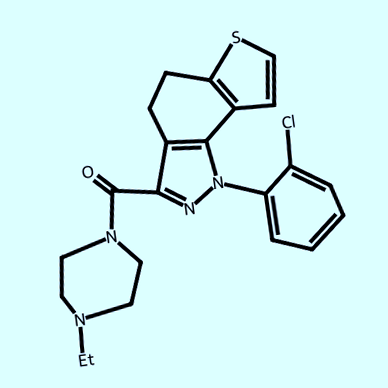 CCN1CCN(C(=O)c2nn(-c3ccccc3Cl)c3c2CCc2sccc2-3)CC1